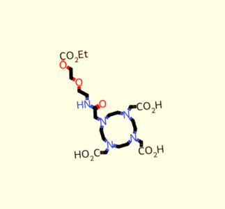 CCOC(=O)OCCOCCNC(=O)CN1CCN(CC(=O)O)CCN(CC(=O)O)CCN(CC(=O)O)CC1